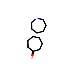 C1CCCNCC1.O=C1CCCCCC1